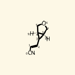 N#CC=CC1[C@H]2COC[C@@H]12